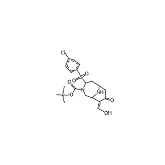 CC(C)(C)OC(=O)N1CC2NC(CC(=O)/C2=C\O)CC1S(=O)(=O)c1ccc(Cl)cc1